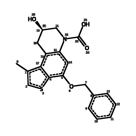 Cc1csc2c(OCc3ccccc3)cc3c(c12)C[C@@H](O)CN3C(=O)O